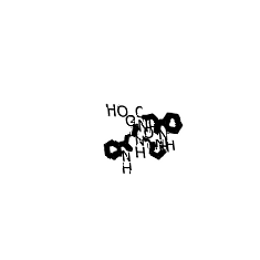 O=C(O)[C@H](Cc1c[nH]c2ccccc12)NC(=O)[C@H](Cc1c[nH]c2ccccc12)NC(=O)[C@@H]1CCCN1